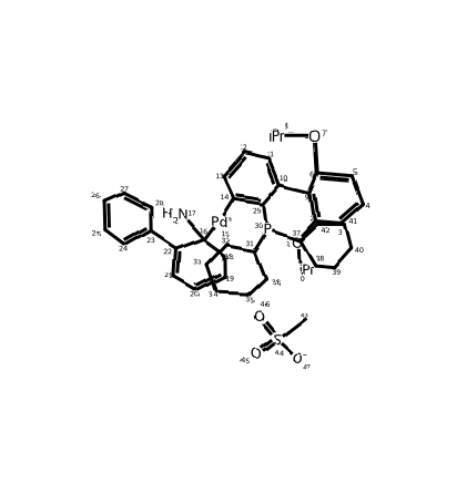 CC(C)Oc1cccc(OC(C)C)c1-c1ccc[c]([Pd+][C]2(N)CC=CC=C2c2ccccc2)c1P(C1CCCCC1)C1CCCCC1.CS(=O)(=O)[O-]